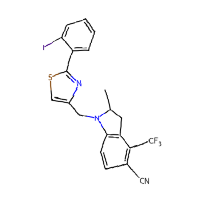 CC1Cc2c(ccc(C#N)c2C(F)(F)F)N1Cc1csc(-c2ccccc2I)n1